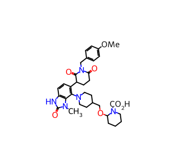 COc1ccc(CN2C(=O)CCC(c3ccc4[nH]c(=O)n(C)c4c3N3CCC(COC4CCCCN4C(=O)O)CC3)C2=O)cc1